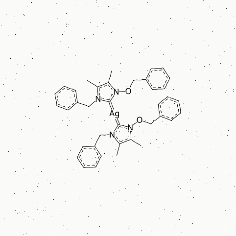 Cc1c(C)n(OCc2ccccc2)[c](=[Ag]=[c]2n(Cc3ccccc3)c(C)c(C)n2OCc2ccccc2)n1Cc1ccccc1